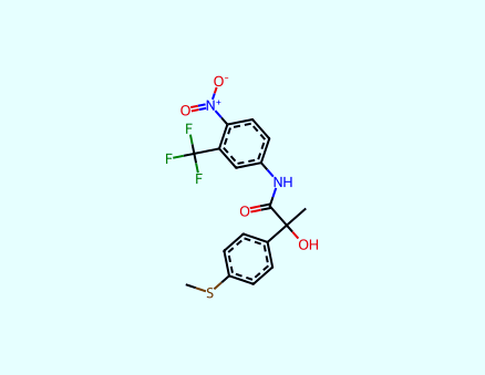 CSc1ccc(C(C)(O)C(=O)Nc2ccc([N+](=O)[O-])c(C(F)(F)F)c2)cc1